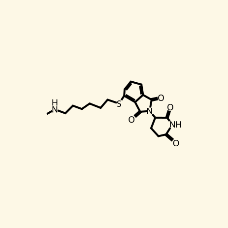 CNCCCCCCSc1cccc2c1C(=O)N(C1CCC(=O)NC1=O)C2=O